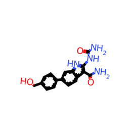 NC(=O)Nc1[nH]c2cc(-c3ccc(CO)cc3)ccc2c1C(N)=O